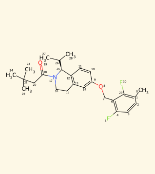 Cc1ccc(F)c(COc2ccc3c(c2)CCN(C(=O)CC(C)(C)C)[C@H]3C(C)C)c1F